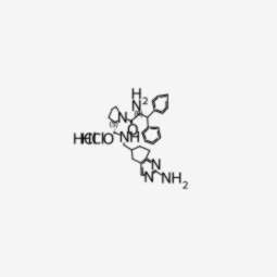 Cl.Cl.Nc1ncc2c(n1)CCC(CNC(=O)[C@@H]1CCCN1C(=O)[C@H](N)C(c1ccccc1)c1ccccc1)C2